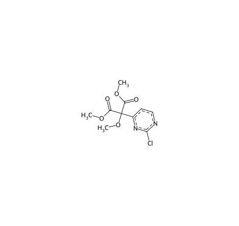 COC(=O)C(OC)(C(=O)OC)c1ccnc(Cl)n1